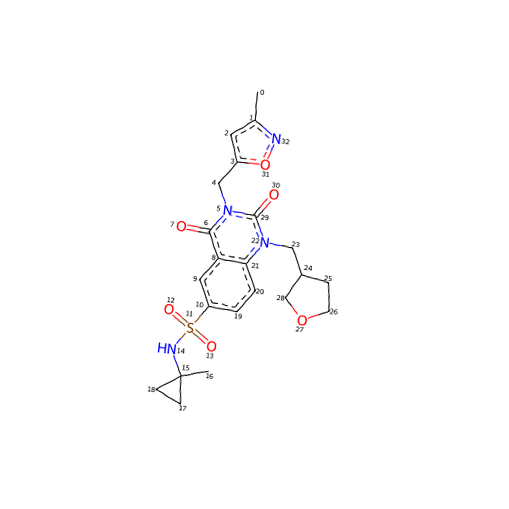 Cc1cc(Cn2c(=O)c3cc(S(=O)(=O)NC4(C)CC4)ccc3n(CC3CCOC3)c2=O)on1